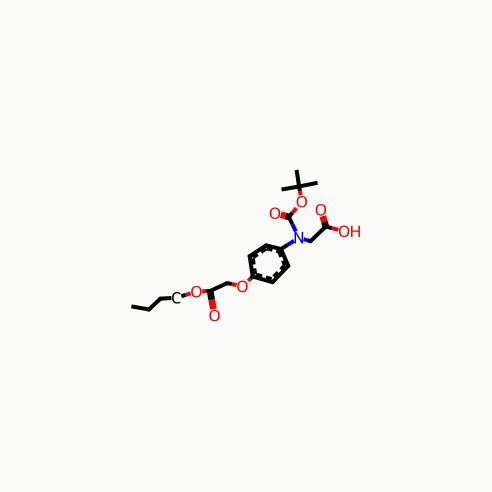 CCCCOC(=O)COc1ccc(N(CC(=O)O)C(=O)OC(C)(C)C)cc1